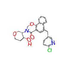 O=C1c2cc(Cc3ccc(Cl)nc3)c3ccccc3c2OCN1C1COCCC1O